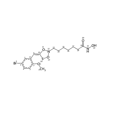 COc1ccc(Br)cc1/C=C1/ON(CCCCCCC(=O)NO)OS1